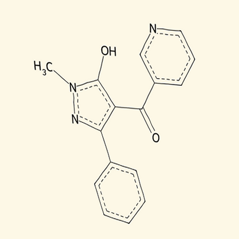 Cn1nc(-c2ccccc2)c(C(=O)c2cccnc2)c1O